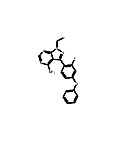 [CH2]Cn1nc(-c2ccc(Oc3ccccc3)cc2F)c2c(N)ncnc21